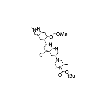 COCOc1cc2nn(C)cc2cc1-c1cc(Cl)c2cc(N3C[C@@H](C)N(C(=O)OC(C)(C)C)[C@H](C)C3)cnc2n1